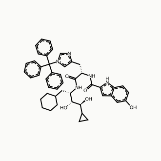 O=C(N[C@@H](Cc1cn(C(c2ccccc2)(c2ccccc2)c2ccccc2)cn1)C(=O)N[C@@H](CC1CCCCC1)[C@@H](O)[C@@H](O)C1CC1)c1cc2cc(O)ccc2[nH]1